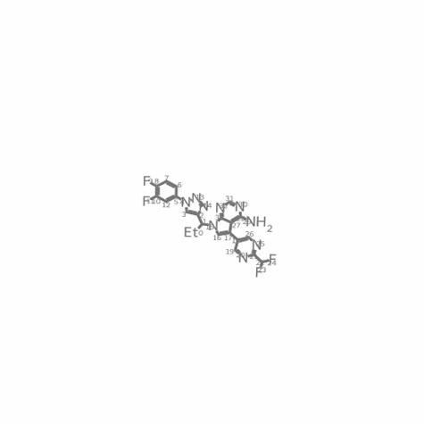 CCC(c1cn(-c2ccc(F)c(F)c2)nn1)n1cc(-c2cnc(C(F)F)nc2)c2c(N)ncnc21